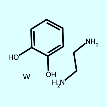 NCCN.Oc1ccccc1O.[W]